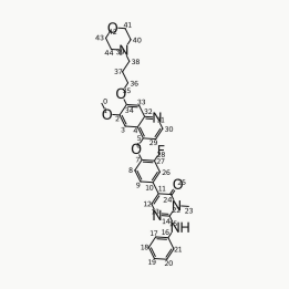 COc1cc2c(Oc3ccc(-c4cnc(Nc5ccccc5)n(C)c4=O)cc3F)ccnc2cc1OCCCN1CCOCC1